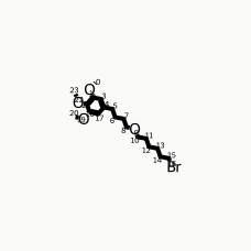 COc1cc(CCCCOCCCCCCBr)cc(OC)c1OC